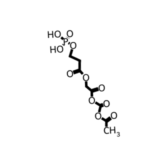 CC(=O)OC(=O)OC(=O)COC(=O)CCOP(=O)(O)O